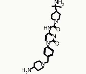 CC(C)(N)C1CCN(C(=O)Nc2ccn(-c3ccc(CN4CCC(N)CC4)cc3)c(=O)n2)CC1